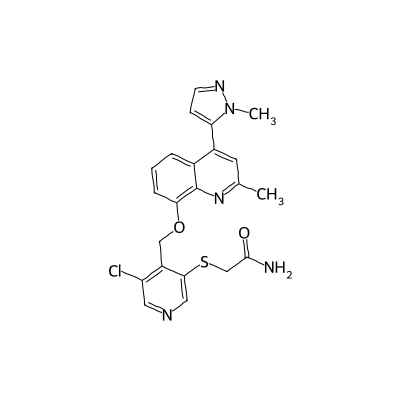 Cc1cc(-c2ccnn2C)c2cccc(OCc3c(Cl)cncc3SCC(N)=O)c2n1